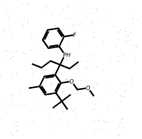 CCCC(CC)(Pc1ccccc1F)c1cc(C)cc(C(C)(C)C)c1OCOC